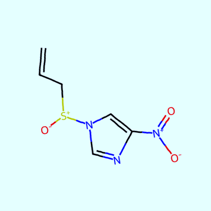 C=CC[S+]([O-])n1cnc([N+](=O)[O-])c1